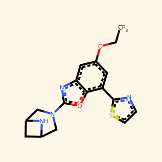 FC(F)(F)COc1cc(-c2nccs2)c2oc(N3CC4CC(C3)N4)nc2c1